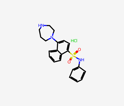 Cl.O=S(=O)(Nc1ccccc1)c1ccc(N2CCCNCC2)c2ccccc12